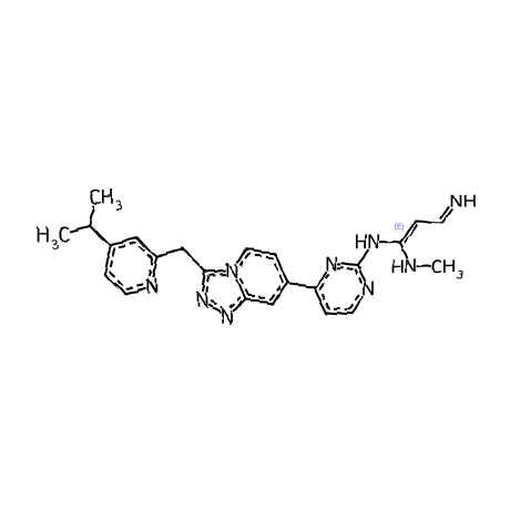 CN/C(=C\C=N)Nc1nccc(-c2ccn3c(Cc4cc(C(C)C)ccn4)nnc3c2)n1